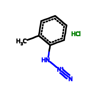 Cc1ccccc1N[N+]#N.Cl